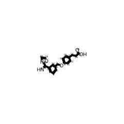 N=C(c1cccc(COc2ccc(CCC(=O)O)cc2)c1)c1ncco1